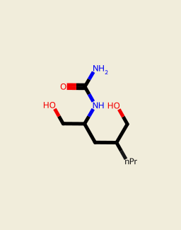 CCCC(CO)CC(CO)NC(N)=O